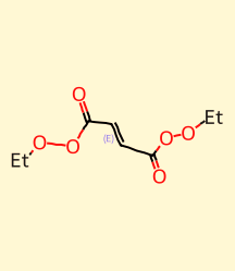 CCOOC(=O)/C=C/C(=O)OOCC